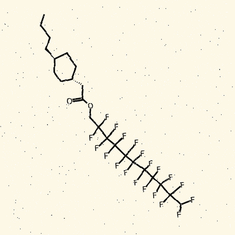 CCCC[C@H]1CC[C@H](CC(=O)OCC(F)(F)C(F)(F)C(F)(F)C(F)(F)C(F)(F)C(F)(F)C(F)(F)C(F)(F)C(F)(F)C(F)F)CC1